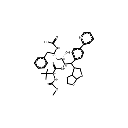 COC(=O)N[C@H](C(=O)N[C@@H](C(c1ccc(-c2ccccn2)cc1)C1COC2OCCC21)[C@@H](O)C[C@H](Cc1ccccc1)NC(=O)O)C(C)(C)C